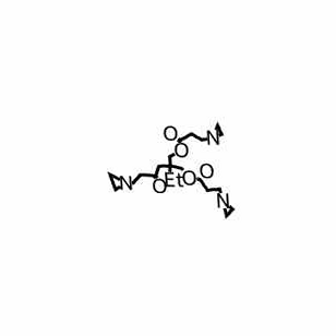 CCC(COC(=O)CCN1CC1)(COC(=O)CCN1CC1)CC(=O)CCN1CC1